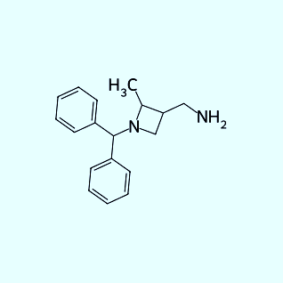 CC1C(CN)CN1C(c1ccccc1)c1ccccc1